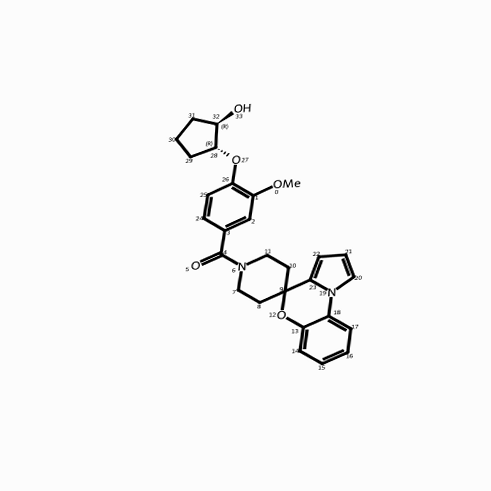 COc1cc(C(=O)N2CCC3(CC2)Oc2ccccc2-n2cccc23)ccc1O[C@@H]1CCC[C@H]1O